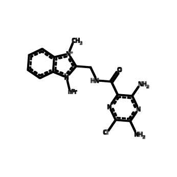 CCCn1c(CNC(=O)c2nc(Cl)c(N)nc2N)[n+](C)c2ccccc21